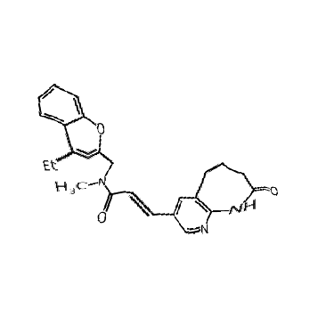 CCc1c(CN(C)C(=O)C=Cc2cnc3c(c2)CCCC(=O)N3)oc2ccccc12